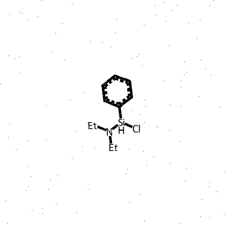 CCN(CC)[SiH](Cl)c1ccccc1